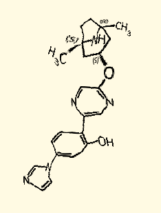 C[C@]12CC[C@](C)(C[C@@H](Oc3cnc(-c4ccc(-n5ccnc5)cc4O)cn3)C1)N2